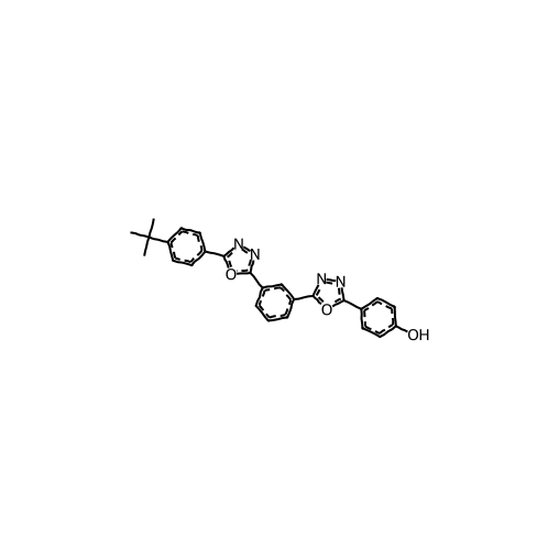 CC(C)(C)c1ccc(-c2nnc(-c3cccc(-c4nnc(-c5ccc(O)cc5)o4)c3)o2)cc1